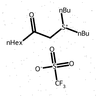 CCCCCCC(=O)C[S+](CCCC)CCCC.O=S(=O)([O-])C(F)(F)F